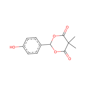 CC1(C)C(=O)OC(c2ccc(O)cc2)OC1=O